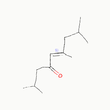 C/C(=C\C(=O)CC(C)C)CC(C)C